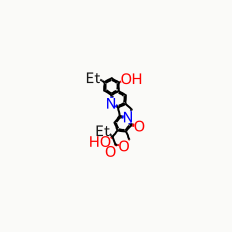 CCc1cc(O)c2cc3c(nc2c1)-c1cc2c(c(=O)n1C3)COC(=O)C2(O)CC